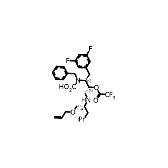 C=CCOC[C@@H](CC(C)C)NC[C@@H](OC(=O)C(F)(F)F)[C@H](Cc1cc(F)cc(F)c1)N(Cc1ccccc1)C(=O)O